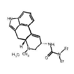 CCN(CC)C(=O)N[C@H]1C=C2c3cccc4[nH]cc(c34)C[C@H]2N(C)C1.O